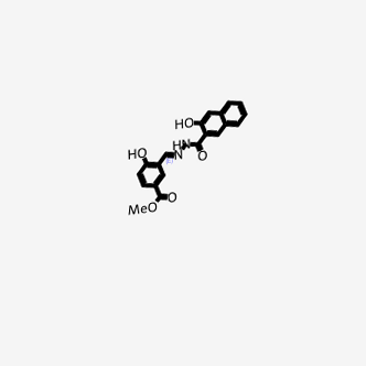 COC(=O)c1ccc(O)c(/C=N/NC(=O)c2cc3ccccc3cc2O)c1